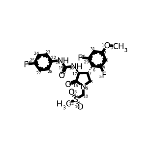 COc1cc(F)c([C@@H]2CN(CS(C)(=O)=O)C(=O)[C@H]2NC(=O)Nc2ccc(F)cc2)c(F)c1